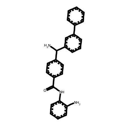 Nc1ccccc1NC(=O)c1ccc(C(N)c2cccc(-c3ccccc3)c2)cc1